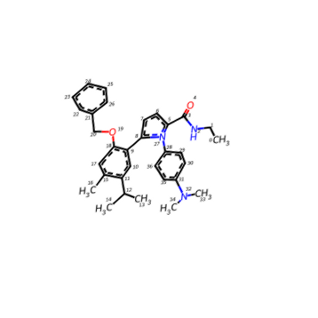 CCNC(=O)c1ccc(-c2cc(C(C)C)c(C)cc2OCc2ccccc2)n1-c1ccc(N(C)C)cc1